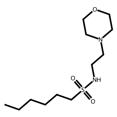 CCCCCCS(=O)(=O)NCCN1CCOCC1